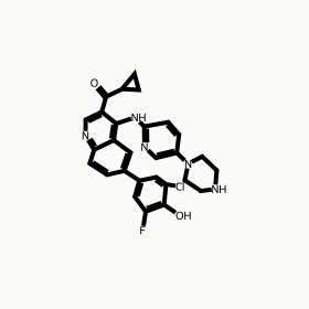 O=C(c1cnc2ccc(-c3cc(F)c(O)c(Cl)c3)cc2c1Nc1ccc(N2CCNCC2)cn1)C1CC1